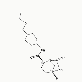 CCCCN1CCC(NC(=O)[C@@H]2CC[C@@H]3CN2C(=N)N3)CC1